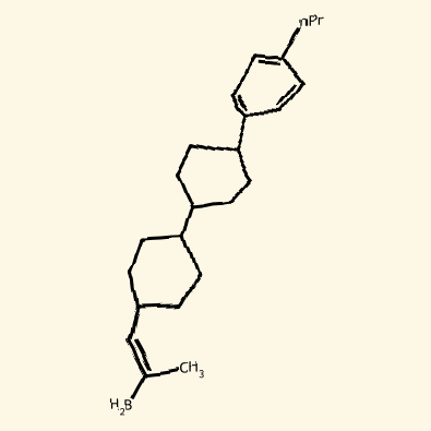 B/C(C)=C/C1CCC(C2CCC(c3ccc(CCC)cc3)CC2)CC1